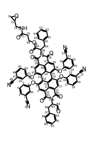 N#Cc1cccc(Oc2cc3c4c(cc(Oc5cccc(C#N)c5)c5c6c(Oc7cccc(C#N)c7)cc7c8c(cc(Oc9cccc(C#N)c9)c(c2c45)c86)C(=O)N(C(Cc2ccccc2)C(=O)OCCC(=O)NCC2CO2)C7=O)C(=O)N(C(C=O)Cc2ccccc2)C3=O)c1